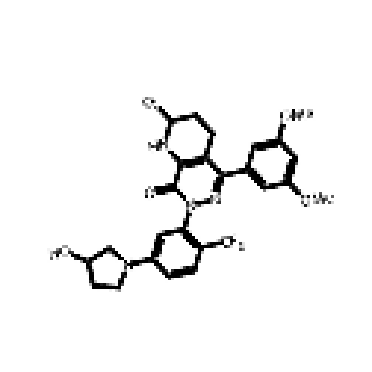 CCC1CCc2c(-c3cc(OC)cc(OC)c3)nn(-c3cc(N4CCC(O)C4)ccc3C(F)(F)F)c(=O)c2N1